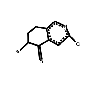 O=C1c2cc(Cl)ncc2CCC1Br